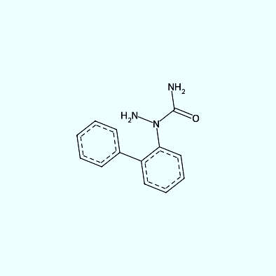 NC(=O)N(N)c1ccccc1-c1ccccc1